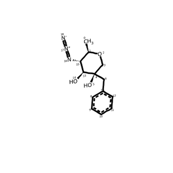 C[C@H]1O[CH][C@](O)(Cc2ccccc2)[C@@H](O)[C@@H]1N=[N+]=[N-]